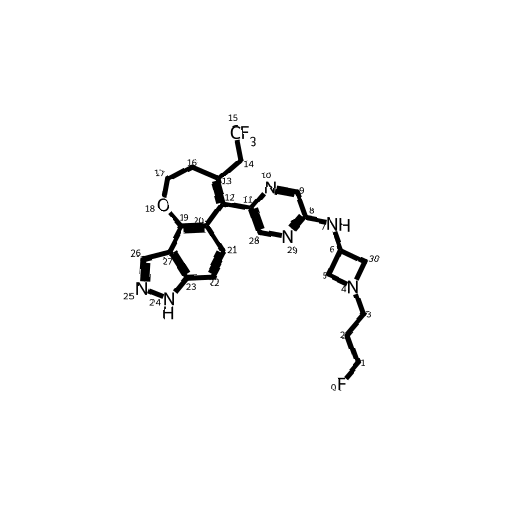 FCCCN1CC(Nc2cnc(C3=C(CC(F)(F)F)CCOc4c3ccc3[nH]ncc43)cn2)C1